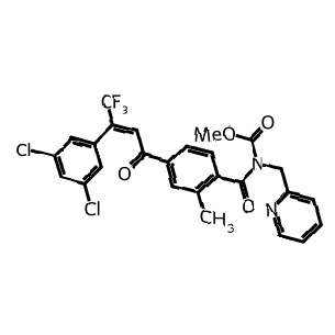 COC(=O)N(Cc1ccccn1)C(=O)c1ccc(C(=O)C=C(c2cc(Cl)cc(Cl)c2)C(F)(F)F)cc1C